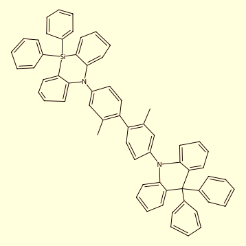 Cc1cc(N2c3ccccc3C(c3ccccc3)(c3ccccc3)c3ccccc32)ccc1-c1ccc(N2c3ccccc3[Si](c3ccccc3)(c3ccccc3)c3ccccc32)cc1C